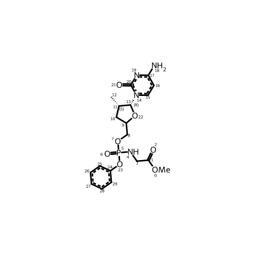 COC(=O)CNP(=O)(OCC1C[C@H](C)[C@H](n2ccc(N)nc2=O)O1)Oc1ccccc1